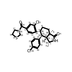 C[C@H]1NC(=O)[C@]2(C)CC[C@@H](c3ccc(C(=O)N4CCSC4)cc3Cl)[C@H](c3ccc(Cl)cc3)[C@H]12